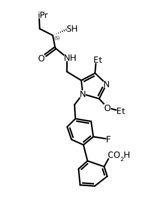 CCOc1nc(CC)c(CNC(=O)[C@@H](S)CC(C)C)n1Cc1ccc(-c2ccccc2C(=O)O)c(F)c1